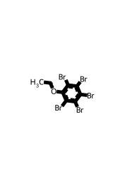 C[CH]Oc1c(Br)c(Br)c(Br)c(Br)c1Br